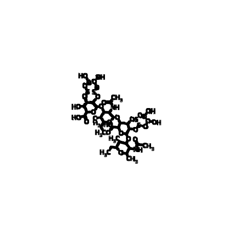 CCC1OC(C)C(NC(C)=O)C(OC2OC(C(=O)O)C(OC3OC(CC)C(C)C(OC4OC(C(=O)O)C(O)C(OSOOO)C4OSOOO)C3NC(C)=O)C(OSOOO)C2OSOOO)C1C